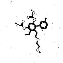 CCc1c(OC(=O)OC)cc(OC(=O)OC)c(-c2cccc(C)c2)c1CCOCCOC